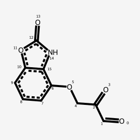 O=CC(=O)COc1cccc2oc(=O)[nH]c12